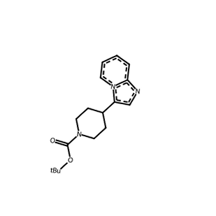 CC(C)(C)OC(=O)N1CCC(c2cnc3ccccn23)CC1